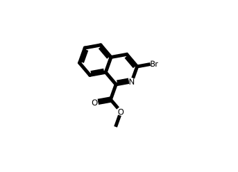 COC(=O)c1nc(Br)cc2ccccc12